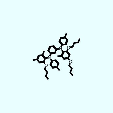 CCCCOc1cc(C)c(N(c2ccc(C)cc2)c2cccc(N(c3ccc(C)cc3)c3c(C)cc(C)cc3OCCCC)c2)c(OCCCC)c1